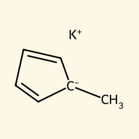 C[c-]1cccc1.[K+]